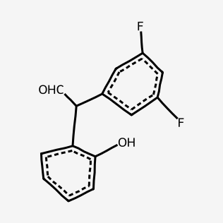 O=CC(c1cc(F)cc(F)c1)c1ccccc1O